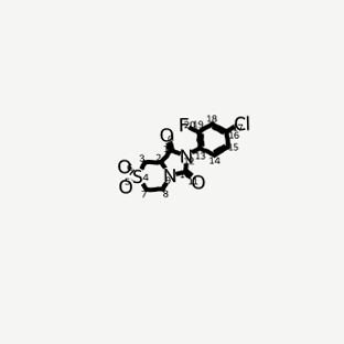 O=C1C2CS(=O)(=O)CCN2C(=O)N1c1ccc(Cl)cc1F